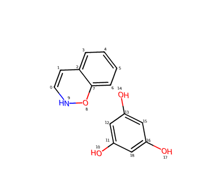 C1=Cc2ccccc2ON1.Oc1cc(O)cc(O)c1